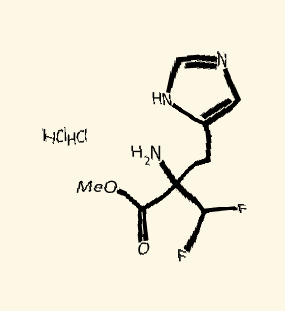 COC(=O)C(N)(Cc1cnc[nH]1)C(F)F.Cl.Cl